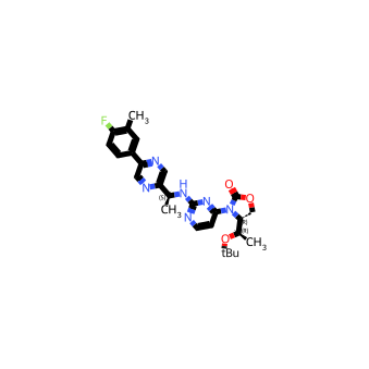 Cc1cc(-c2cnc([C@H](C)Nc3nccc(N4C(=O)OC[C@@H]4[C@@H](C)OC(C)(C)C)n3)cn2)ccc1F